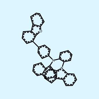 c1ccc(-n2c3ccccc3c3ccccc32)c(N(c2ccc(-c3cccc4c3oc3ccccc34)cc2)c2cccc3ccccc23)c1